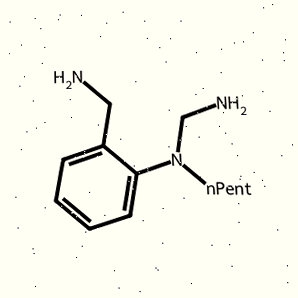 CCCCCN(CN)c1ccccc1CN